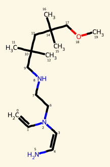 C=CN(/C=C\N)CCNCC(C)(C)CC(C)(C)COC